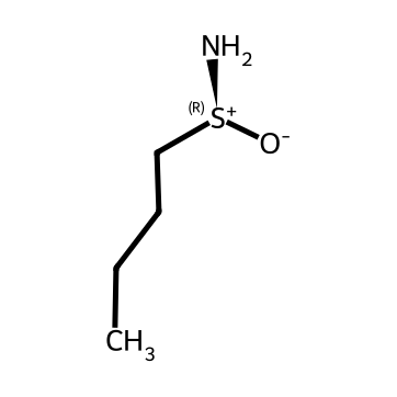 CCCC[S@@+](N)[O-]